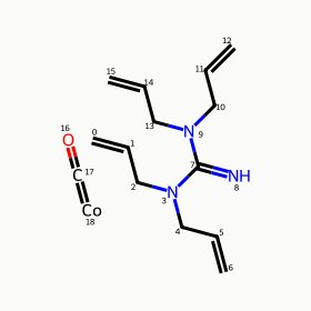 C=CCN(CC=C)C(=N)N(CC=C)CC=C.O=[C]=[Co]